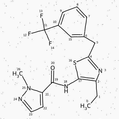 CCc1nc(Cc2cccc(C(F)(F)F)c2)sc1NC(=O)c1ccnn1C